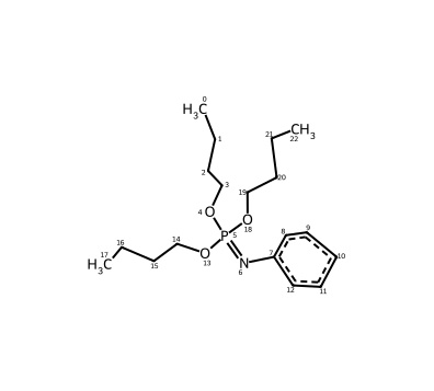 CCCCOP(=Nc1ccccc1)(OCCCC)OCCCC